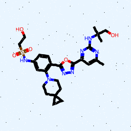 Cc1cc(-c2nnc(-c3ccc(NS(=O)(=O)CCO)cc3N3CCC4(CC3)CC4)o2)nc(NC(C)(C)CO)n1